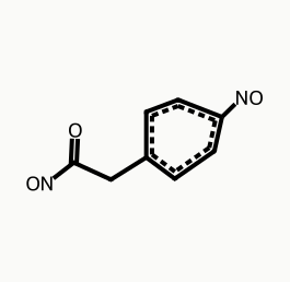 O=NC(=O)Cc1ccc(N=O)cc1